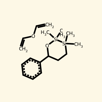 C=COC=C.C[Si]1(C)CCC(c2ccccc2)O[Si]1(C)C